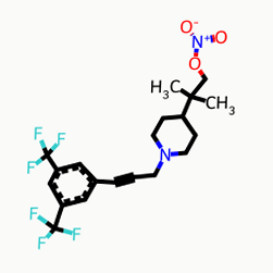 CC(C)(CO[N+](=O)[O-])C1CCN(CC#Cc2cc(C(F)(F)F)cc(C(F)(F)F)c2)CC1